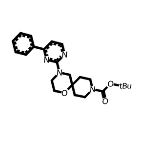 CC(C)(C)OC(=O)N1CCC2(CC1)CN(c1nccc(-c3ccccc3)n1)CCO2